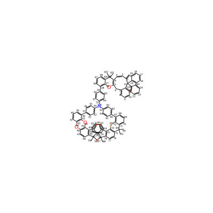 C=C1/C=C\C2=C(Cc3ccccc3C1(c1ccccc1)c1ccccc1)Oc1c(-c3ccc(N(c4ccc(-c5cccc6c5Oc5c(ccc7c5-c5ccccc5C7(C)C)O6)cc4)c4ccc(-c5cccc6c5Sc5c(ccc7c5-c5ccccc5C7(C)C)C6(C)C)cc4)cc3)cccc1C2(C)C